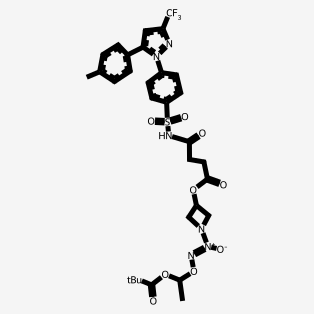 Cc1ccc(-c2cc(C(F)(F)F)nn2-c2ccc(S(=O)(=O)NC(=O)CCC(=O)OC3CN([N+]([O-])=NOC(C)OC(=O)C(C)(C)C)C3)cc2)cc1